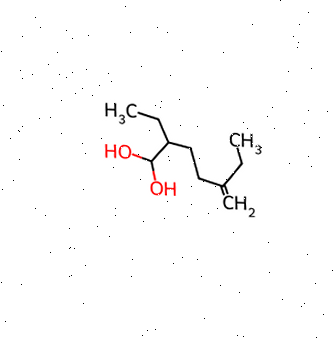 C=C(CC)CCC(CC)C(O)O